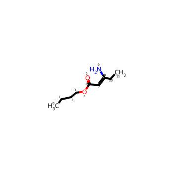 CCCCOC(=O)C=C(N)CC